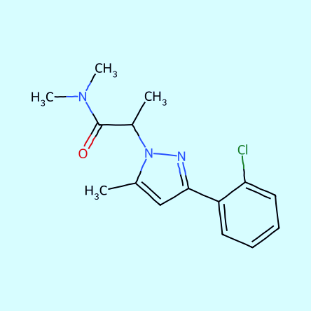 Cc1cc(-c2ccccc2Cl)nn1C(C)C(=O)N(C)C